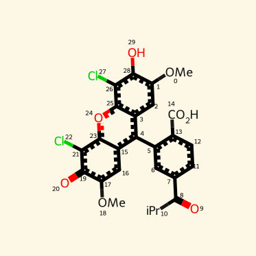 COc1cc2c(-c3cc(C(=O)C(C)C)ccc3C(=O)O)c3cc(OC)c(=O)c(Cl)c-3oc2c(Cl)c1O